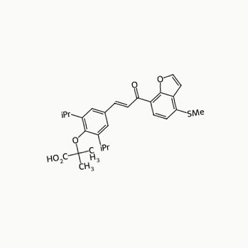 CSc1ccc(C(=O)/C=C/c2cc(C(C)C)c(OC(C)(C)C(=O)O)c(C(C)C)c2)c2occc12